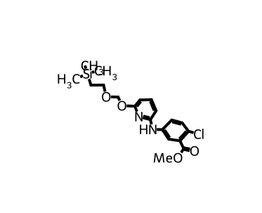 COC(=O)c1cc(Nc2cccc(OCOCC[Si](C)(C)C)n2)ccc1Cl